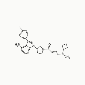 CN(C/C=C/C(=O)N1CCC(n2nc(-c3ccc(F)cc3)c3c(N)ncnc32)C1)C1CCC1